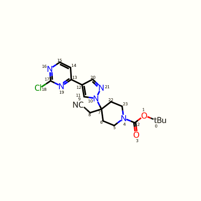 CC(C)(C)OC(=O)N1CCC(CC#N)(n2cc(-c3ccnc(Cl)n3)cn2)CC1